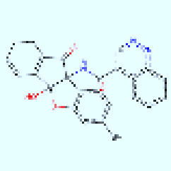 CC(C)c1ccc2c(c1)OC1(O)C3=C(CCC=C3)C(=O)C21NC(=O)c1cnnc2ccccc12